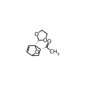 CC(=O)[C@@H]1CC2C=C[C@]1(C1OCCO1)O2